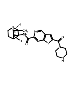 C[C@H]1[C@H](NC(=O)c2cc3sc(C(=O)N4CCNCC4)cc3cn2)C2CCN1CC2